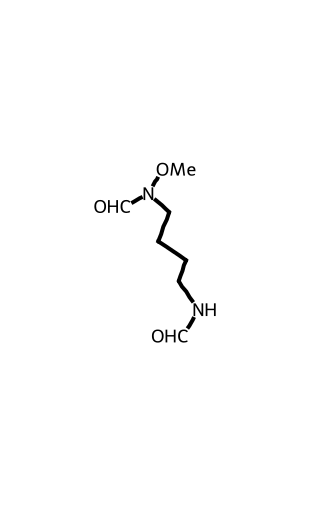 CON(C=O)CCCCNC=O